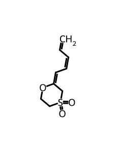 C=C/C=C\C=C1/CS(=O)(=O)CCO1